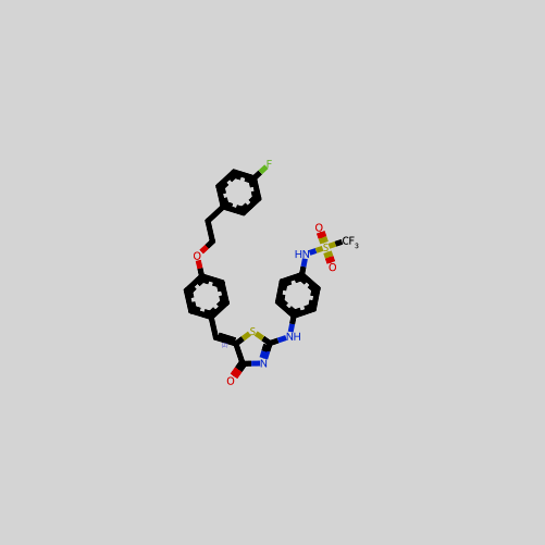 O=C1N=C(Nc2ccc(NS(=O)(=O)C(F)(F)F)cc2)S/C1=C\c1ccc(OCCc2ccc(F)cc2)cc1